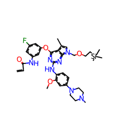 C=CC(=O)Nc1cc(F)cc(Oc2nc(Nc3ccc(N4CCN(C)CC4)cc3OC)nc3c2c(C)cn3COCC[Si](C)(C)C)c1